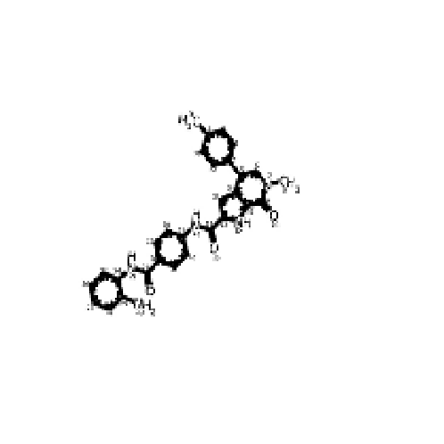 Cc1ccc(-c2cn(C)c(=O)c3[nH]c(C(=O)Nc4ccc(C(=O)Nc5ccccc5N)cc4)cc23)cc1